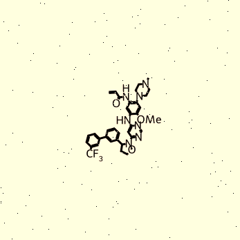 C=CC(=O)Nc1cc(Nc2cc(N3OCCC3c3cccc(-c4cccc(C(F)(F)F)c4)c3)ncn2)c(OC)cc1N1CCN(C)CC1